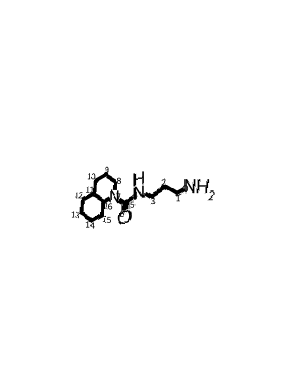 NCCCNC(=O)N1CCCC2CCCCC21